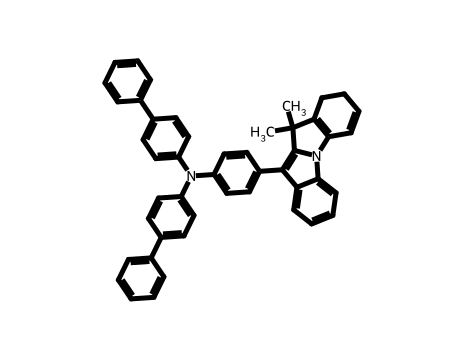 CC1(C)C2=C(C=CCC2)n2c1c(-c1ccc(N(c3ccc(-c4ccccc4)cc3)c3ccc(-c4ccccc4)cc3)cc1)c1ccccc12